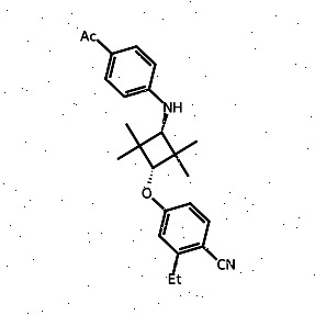 CCc1cc(O[C@H]2C(C)(C)[C@H](Nc3ccc(C(C)=O)cc3)C2(C)C)ccc1C#N